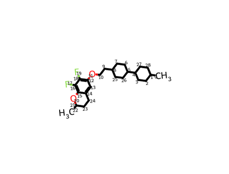 CC1CCC(C2CCC(CCOc3cc4c(c(F)c3F)OC(C)CC4)CC2)CC1